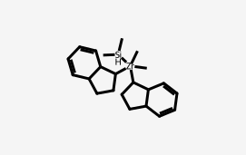 C[SiH](C)[Zr]([CH3])([CH3])([CH]1CCC2C=CC=CC21)[CH]1CCC2C=CC=CC21